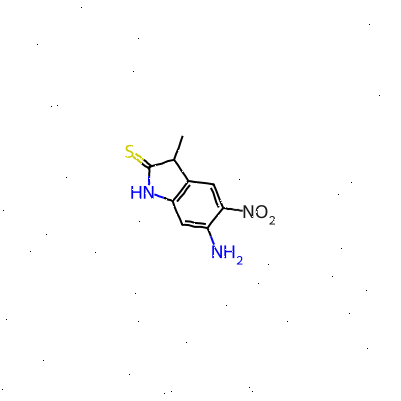 CC1C(=S)Nc2cc(N)c([N+](=O)[O-])cc21